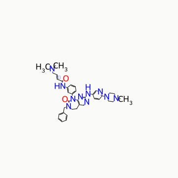 CN(C)C/C=C/C(=O)Nc1cccc(N2C(=O)N(Cc3ccccc3)CCc3cnc(Nc4ccc(N5CCN(C)CC5)nc4)nc32)c1